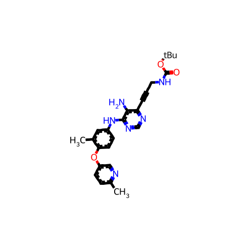 Cc1ccc(Oc2ccc(Nc3ncnc(C#CCNC(=O)OC(C)(C)C)c3N)cc2C)cn1